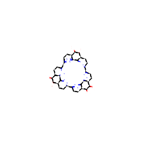 O=c1c(=O)c2ccc3nc2c2nc(ccc12)c1ccc2c(=O)c(=O)c4ccc(nc4c2n1)c1ccc2c(=O)c(=O)c4ccc3nc4c2n1